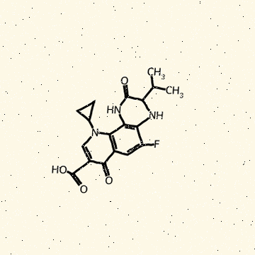 CC(C)C1Nc2c(F)cc3c(=O)c(C(=O)O)cn(C4CC4)c3c2NC1=O